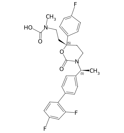 C[C@@H](c1ccc(-c2ccc(F)cc2F)cc1)N1CC[C@@](CCN(C)C(=O)O)(c2ccc(F)cc2)OC1=O